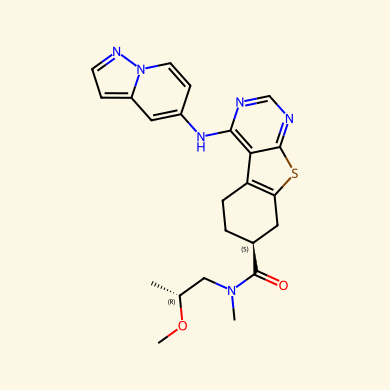 CO[C@H](C)CN(C)C(=O)[C@H]1CCc2c(sc3ncnc(Nc4ccn5nccc5c4)c23)C1